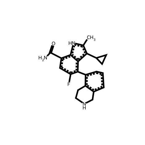 Cc1[nH]c2c(C(N)=O)cc(F)c(-c3cccc4c3CCNC4)c2c1C1CC1